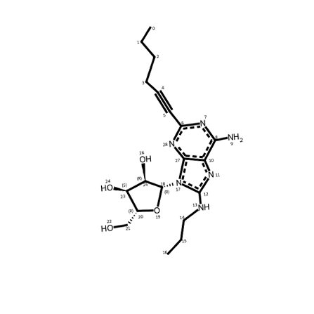 CCCCC#Cc1nc(N)c2nc(NCCC)n([C@@H]3O[C@H](CO)[C@@H](O)[C@H]3O)c2n1